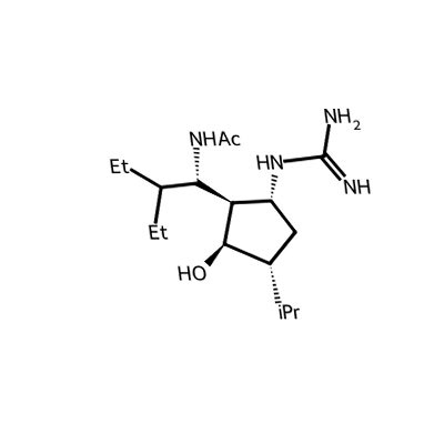 CCC(CC)[C@H](NC(C)=O)[C@@H]1[C@H](O)[C@@H](C(C)C)C[C@H]1NC(=N)N